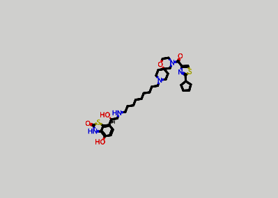 O=C(c1csc(C2CCCC2)n1)N1CCOC2(CCN(CCCCCCCCCNC[C@H](O)c3ccc(O)c4[nH]c(=O)sc34)CC2)C1